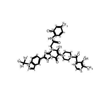 [2H]C([2H])([2H])n1ncc2cc(-c3nc4n(CC(=O)Nc5ccc(C(F)(F)F)cc5Cl)c(CC)c(N5CCN(C(=O)c6ncnc(C)c6O)CC5)c(=O)n4n3)ccc21